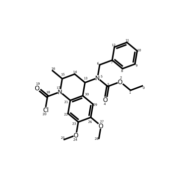 CCOC(=O)N(Cc1ccccc1)C1CC(C)N(C(=O)Cl)c2cc(OC)c(OC)cc21